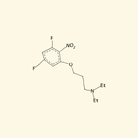 CCN(CC)CCCOc1cc(F)cc(F)c1[N+](=O)[O-]